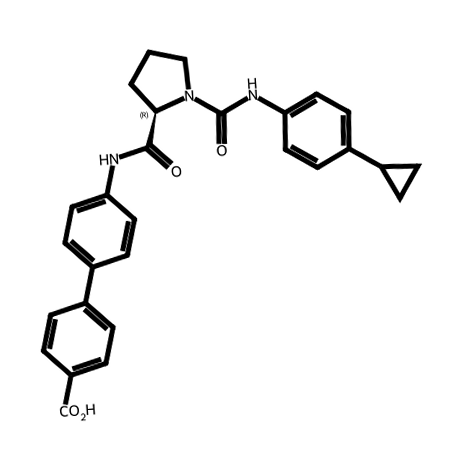 O=C(O)c1ccc(-c2ccc(NC(=O)[C@H]3CCCN3C(=O)Nc3ccc(C4CC4)cc3)cc2)cc1